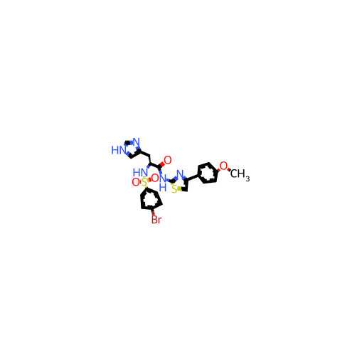 COc1ccc(-c2csc(NC(=O)[C@H](Cc3c[nH]cn3)NS(=O)(=O)c3ccc(Br)cc3)n2)cc1